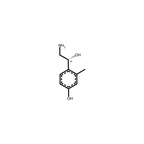 Cc1cc(O)ccc1[C@@H](O)CN